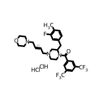 Cc1ccc(CC2CN(C/C=C/CN3CCOCC3)CCN2C(=O)c2cc(C(F)(F)F)cc(C(F)(F)F)c2)cc1F.Cl.Cl